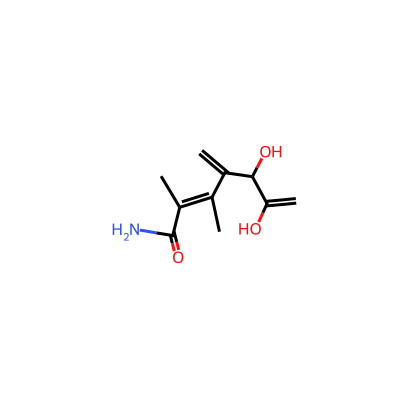 C=C(O)C(O)C(=C)C(C)=C(C)C(N)=O